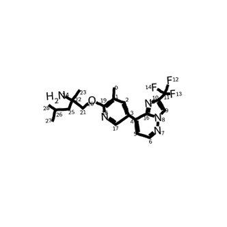 Cc1cc(-c2ccnn3cc(C(F)(F)F)nc23)cnc1OCC(C)(N)CC(C)C